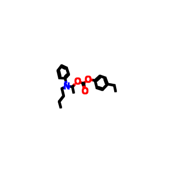 CCCCN(c1ccccc1)C(C)OC(=O)Oc1ccc(CC)cc1